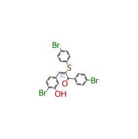 O=C(/C(=C\c1ccc(Br)c(O)c1)Sc1ccc(Br)cc1)c1ccc(Br)cc1